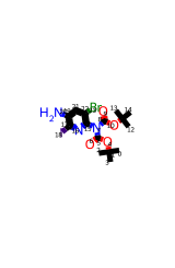 CC(C)(C)OC(=O)N(C(=O)OC(C)(C)C)c1nc(I)c(N)cc1Br